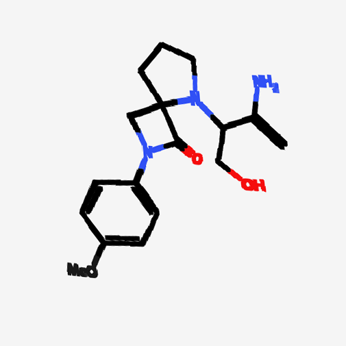 C=C(N)C(CO)N1CCCC12CN(c1ccc(OC)cc1)C2=O